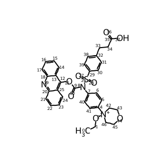 CCO[N+]1(c2ccc(N(C(=O)Oc3c4ccccc4nc4ccccc34)S(=O)(=O)c3ccc(CCC(=O)O)cc3)cc2)CCOCC1